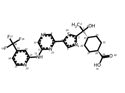 CC(O)(c1ncc(-c2cncc(Nc3cc(C(F)(F)F)ccn3)n2)s1)[C@H]1CC[C@H](C(=O)O)CC1